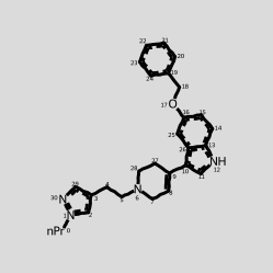 CCCn1cc(CCN2CC=C(c3c[nH]c4ccc(OCc5ccccc5)cc34)CC2)cn1